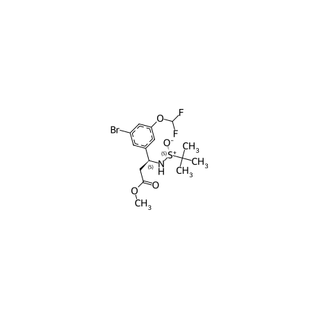 COC(=O)C[C@H](N[S@+]([O-])C(C)(C)C)c1cc(Br)cc(OC(F)F)c1